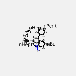 CCCCCCCC=[CH][Pd][CH]=CCCCCCCC.CCCCCc1ccc(C(=CC(=C=[N+]=[N-])CCCC)c2cccc(CCCC)c2)cc1